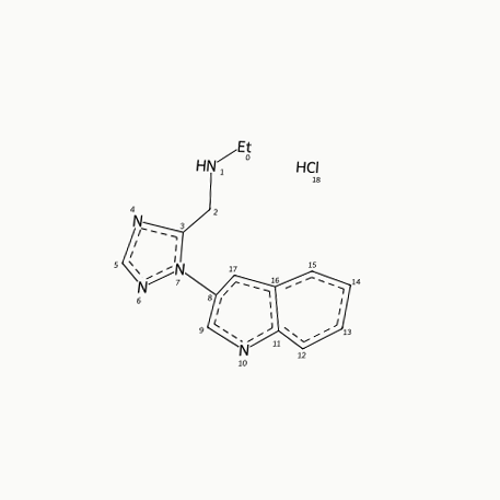 CCNCc1ncnn1-c1cnc2ccccc2c1.Cl